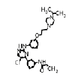 C=CC(=O)Nc1cccc(-c2nc(Nc3cccc(OCCCN4CCN(C(C)C)CC4)c3)ncc2Cl)c1